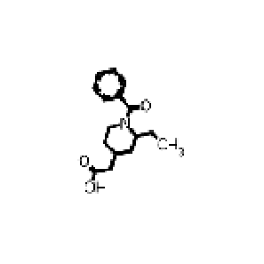 CCC1CC(CC(=O)O)CCN1C(=O)c1ccccc1